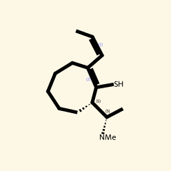 C/C=C\C1=C(/S)[C@H]([C@H](C)NC)CCCCC1